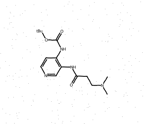 CN(C)CCC(=O)Nc1cnccc1NC(=O)OC(C)(C)C